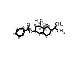 C=C(C)C1CCC2=CC(OC(=O)c3ccccc3)C[C@@H](C)[C@]2(C)C1